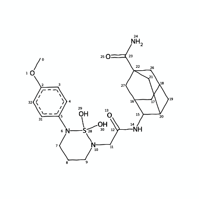 COc1ccc(N2CCCN(CC(=O)NC3C4CC5CC3CC(C(N)=O)(C5)C4)S2(O)O)cc1